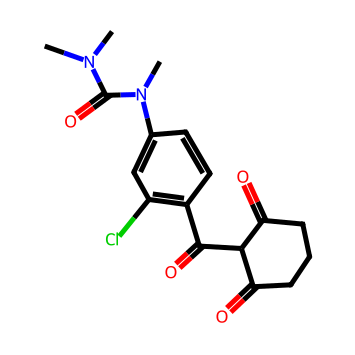 CN(C)C(=O)N(C)c1ccc(C(=O)C2C(=O)CCCC2=O)c(Cl)c1